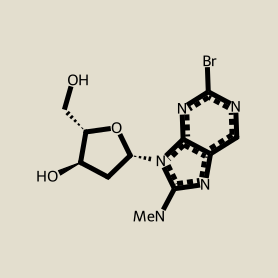 CNc1nc2cnc(Br)nc2n1[C@@H]1C[C@@H](O)[C@H](CO)O1